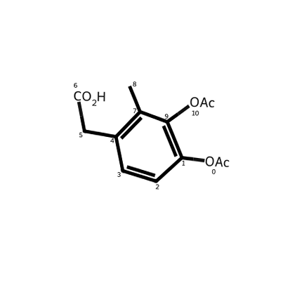 CC(=O)Oc1ccc(CC(=O)O)c(C)c1OC(C)=O